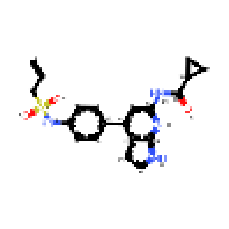 C=CCS(=O)(=O)Nc1ccc(-c2cc(NC(=O)C3CC3)nc3[nH]ccc23)cc1